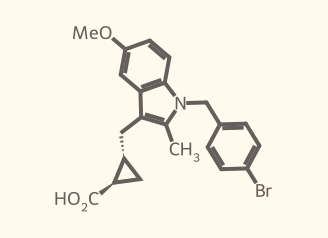 COc1ccc2c(c1)c(C[C@@H]1C[C@H]1C(=O)O)c(C)n2Cc1ccc(Br)cc1